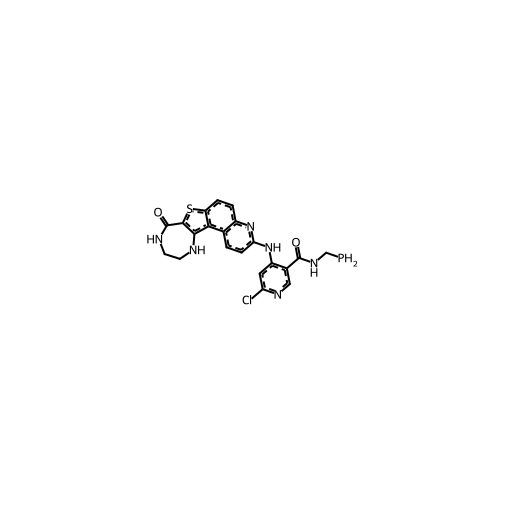 O=C(NCP)c1cnc(Cl)cc1Nc1ccc2c(ccc3sc4c(c32)NCCNC4=O)n1